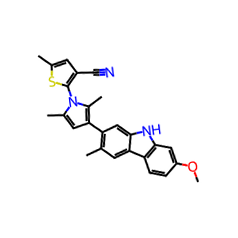 COc1ccc2c(c1)[nH]c1cc(-c3cc(C)n(-c4sc(C)cc4C#N)c3C)c(C)cc12